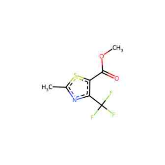 COC(=O)c1sc(C)nc1C(F)(F)F